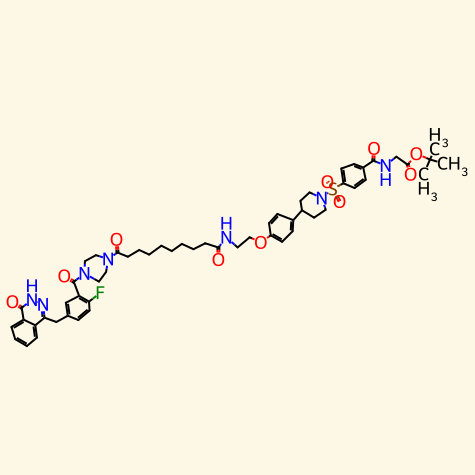 CC(C)(C)OC(=O)CNC(=O)c1ccc(S(=O)(=O)N2CCC(c3ccc(OCCNC(=O)CCCCCCCCC(=O)N4CCN(C(=O)c5cc(Cc6n[nH]c(=O)c7ccccc67)ccc5F)CC4)cc3)CC2)cc1